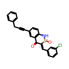 O=C1/C(=C/c2cccc(Cl)c2)[S+]([O-])Nc2ccc(C#CCc3ccccc3)cc21